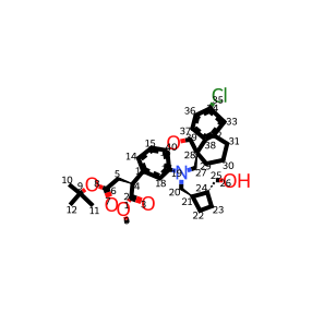 COC(=O)[C@@H](CC(=O)OC(C)(C)C)c1ccc2c(c1)N(C[C@@H]1CC[C@H]1CO)C[C@@]1(CCCc3cc(Cl)ccc31)CO2